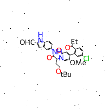 CCC(=O)c1ccc(Cl)cc1-c1cc(=O)n(C(CCOC(C)(C)C)C(=O)Nc2ccc3[nH]c(C=O)cc3c2)cc1OC